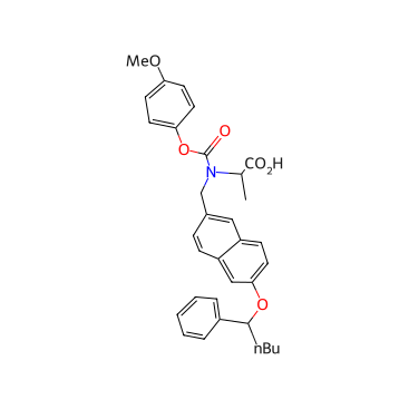 CCCCC(Oc1ccc2cc(CN(C(=O)Oc3ccc(OC)cc3)C(C)C(=O)O)ccc2c1)c1ccccc1